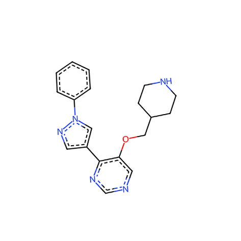 c1ccc(-n2cc(-c3ncncc3OCC3CCNCC3)cn2)cc1